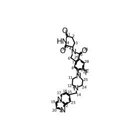 O=C1CCC(N2Cc3cc(N4CCN(Cc5ccn6ccnc6c5)CC4)c(F)cc3C2=O)C(=O)N1